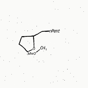 CCCCCCC1CCCO1.COC